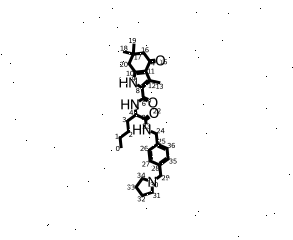 CCCCC(NC(=O)c1[nH]c2c(c1C)C(=O)CC(C)(C)C2)C(=O)NCc1ccc(CN2CCCC2)cc1